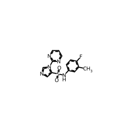 Cc1cc(NS(=O)(=O)c2cncn2-c2ncccn2)ccc1F